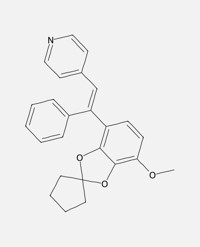 COc1ccc(C(=Cc2ccncc2)c2ccccc2)c2c1OC1(CCCC1)O2